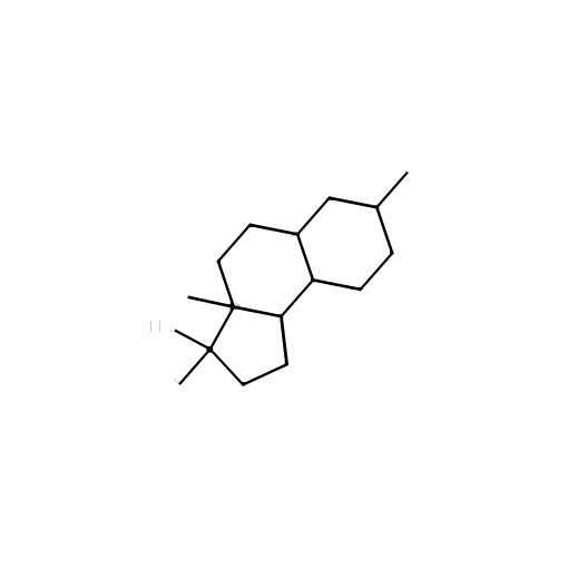 CC1CCC2C(CCC3(C)C2CCC3(C)S)C1